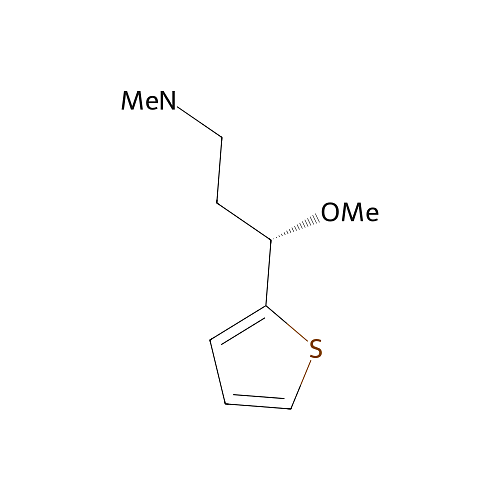 CNCC[C@H](OC)c1cccs1